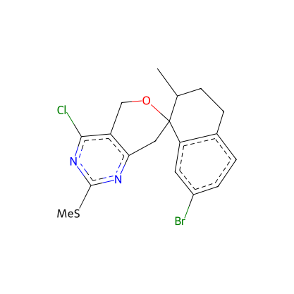 CSc1nc(Cl)c2c(n1)CC1(OC2)c2cc(Br)ccc2CCC1C